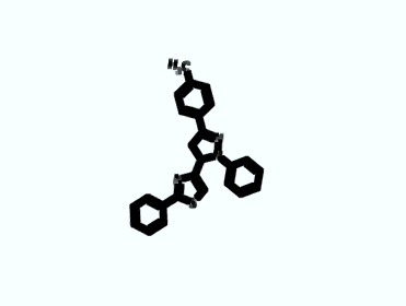 Cc1ccc(C2=NN(c3ccccc3)C(c3csc(-c4ccccc4)n3)C2)cc1